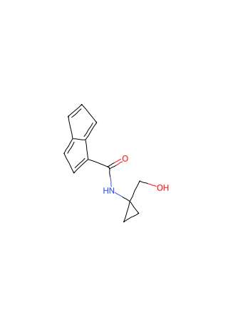 O=C(NC1(CO)CC1)C1=CC=C2C=CC=C21